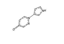 O=c1ccn(-c2cc[nH]c2)nc1